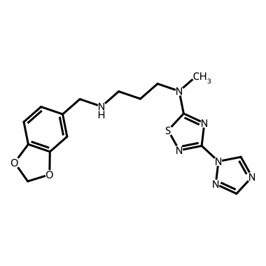 CN(CCCNCc1ccc2c(c1)OCO2)c1nc(-n2cncn2)ns1